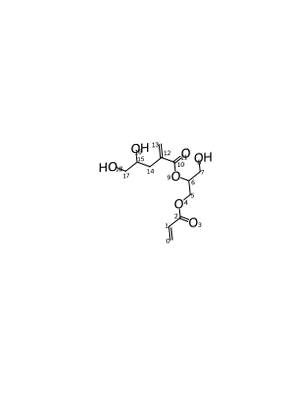 C=CC(=O)OCC(CO)OC(=O)C(=C)CC(O)CO